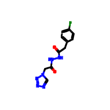 O=C(Cc1ccc(F)cc1)NNC(=O)Cn1cnnn1